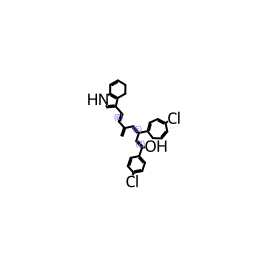 C=C(/C=C/c1c[nH]c2c1CCC=C2)/C=C(\C=C(/O)c1ccc(Cl)cc1)C1=CC=C(Cl)C=CC1